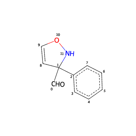 O=CC1(c2ccccc2)C=CON1